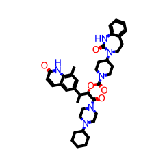 Cc1cc(C(C)C(OC(=O)N2CCC(N3CCc4ccccc4NC3=O)CC2)C(=O)N2CCN(C3CCCCC3)CC2)cc2ccc(=O)[nH]c12